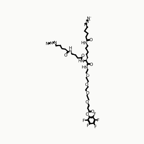 [N-]=[N+]=NCCCCC(=O)NCCCCC[C@H](NC(=O)CCCNC(=O)CCCCN=[N+]=[N-])C(=O)NCCOCCOCCOCCOCCC(=O)Oc1c(F)c(F)c(F)c(F)c1F